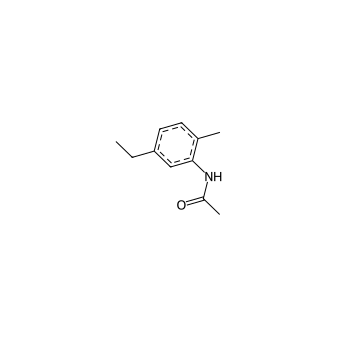 CCc1ccc(C)c(NC(C)=O)c1